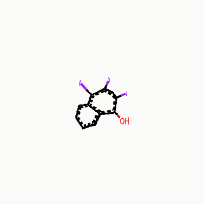 Oc1c(I)c(I)c(I)c2ccccc12